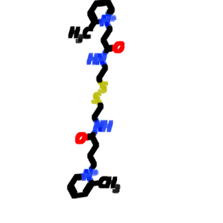 Cc1cccc[n+]1CCCC(=O)NCCSSCCNC(=O)CC[n+]1ccccc1C